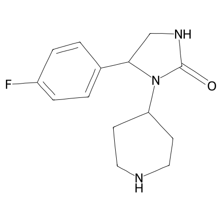 O=C1NCC(c2ccc(F)cc2)N1C1CCNCC1